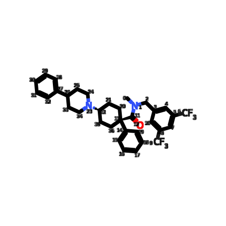 CN(Cc1cc(C(F)(F)F)cc(C(F)(F)F)c1)C(=O)[C@]1(c2ccccc2)CC[C@@H](N2CCC(c3ccccc3)CC2)CC1